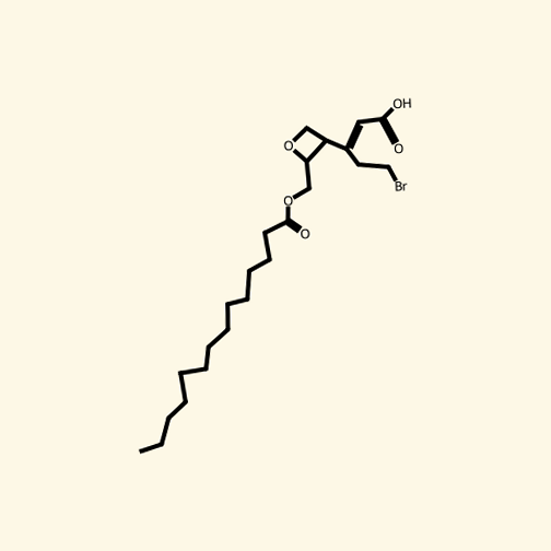 CCCCCCCCCCCCCC(=O)OCC1OCC1C(=CC(=O)O)CCBr